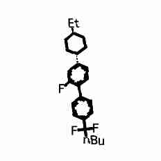 CCCCC(F)(F)c1ccc(-c2ccc([C@H]3CC[C@H](CC)CC3)cc2F)cc1